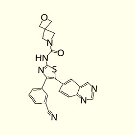 N#Cc1cccc(-c2nc(NC(=O)N3CC4(COC4)C3)sc2-c2ccc3ncncc3c2)c1